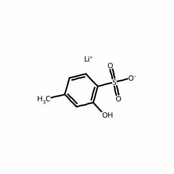 Cc1ccc(S(=O)(=O)[O-])c(O)c1.[Li+]